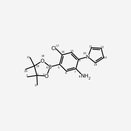 CC1(C)OB(c2cc(N)c(-n3cccc3)cc2Cl)OC1(C)C